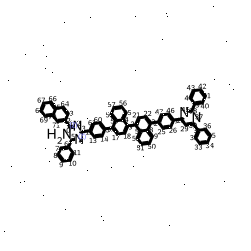 N/C(=N\C(=N/Cc1ccccc1)c1ccc(-c2ccc(-c3ccc(-c4ccc(-c5cc(-c6ccccc6)nc(-c6ccccc6)n5)cc4)c4ccccc34)c3ccccc23)cc1)c1ccc2ccccc2c1